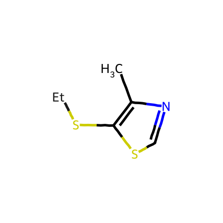 [CH2]CSc1scnc1C